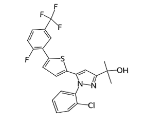 CC(C)(O)c1cc(-c2ccc(-c3cc(C(F)(F)F)ccc3F)s2)n(-c2ccccc2Cl)n1